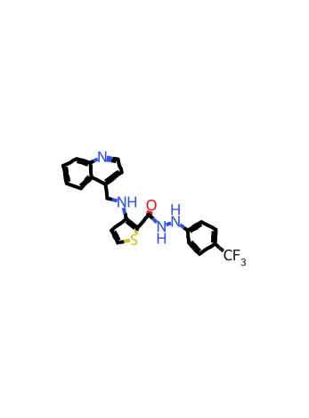 O=C(NNc1ccc(C(F)(F)F)cc1)c1sccc1NCc1ccnc2ccccc12